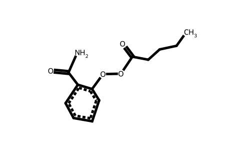 CCCCC(=O)OOc1ccccc1C(N)=O